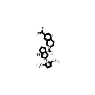 Cc1ccc(C)n1[C@@H]1C[C@H]2CCC[C@@]2(C(=O)N2CCc3ncc(C(F)F)cc3C2)C1